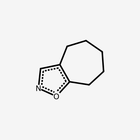 c1noc2c1CCCCC2